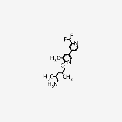 Cc1cc(-c2ccnc(C(F)F)c2)cnc1OCC(C)CC(C)CN